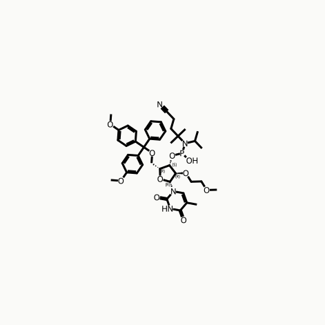 COCCO[C@@H]1[C@@H](OP(O)N(C(C)C)C(C)(C)CCC#N)[C@@H](COC(c2ccccc2)(c2ccc(OC)cc2)c2ccc(OC)cc2)O[C@H]1n1cc(C)c(=O)[nH]c1=O